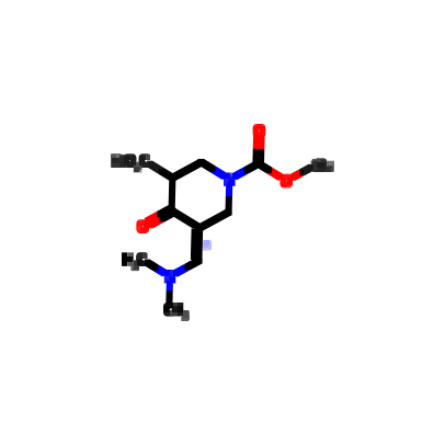 CCOC(=O)C1CN(C(=O)OC(C)(C)C)C/C(=C/N(C)C)C1=O